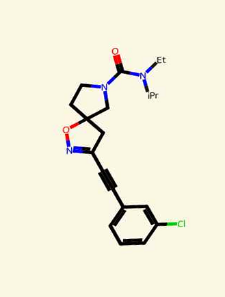 CCN(C(=O)N1CCC2(CC(C#Cc3cccc(Cl)c3)=NO2)C1)C(C)C